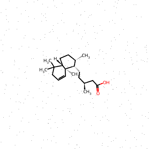 C[C@@H](CC[C@H]1[C@@H](C)CC[C@H]2C(C)(C)CC=C[C@]12C)CC(=O)O